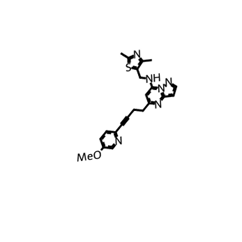 COc1ccc(C#CCCc2cc(NCc3sc(C)nc3C)n3nccc3n2)nc1